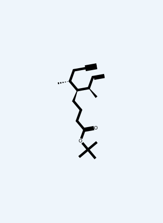 C#CC[C@@H](C)[C@H](CCCC(=O)OC(C)(C)C)[C@H](C)C=C